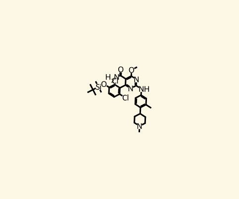 COc1nc(Nc2ccc(C3CCN(C)CC3)c(C)c2)nc(-c2c(Cl)ccc(O[Si](C)(C)C(C)(C)C)c2Cl)c1C(N)=O